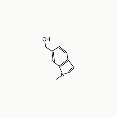 Cn1ccc2ccc(CO)nc21